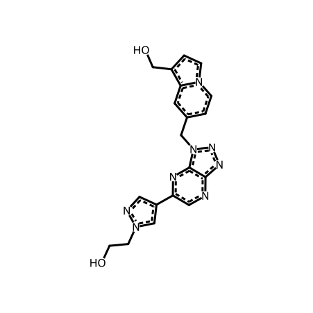 OCCn1cc(-c2cnc3nnn(Cc4ccn5ccc(CO)c5c4)c3n2)cn1